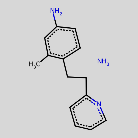 Cc1cc(N)ccc1CCc1ccccn1.N